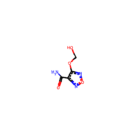 NC(=O)c1nonc1OCO